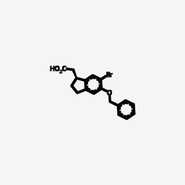 O=C(O)C[C@@H]1CCc2cc(OCc3ccccc3)c(Br)cc21